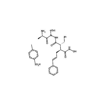 CCCCCCCCN(NC(=O)[C@H](CC(C)C)[C@H](CC=Cc1ccccc1)C(=O)NO)C(=O)[C@@H](C)N.Cc1ccc(S(=O)(=O)O)cc1